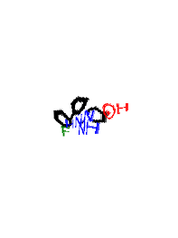 N=C(Nc1ccccc1-c1cccc(F)c1)N1CCC(O)CC1